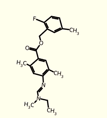 CCN(C)/C=N/c1cc(C)c(C(=O)OCc2cc(C)ccc2F)cc1C